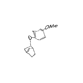 COc1ccc(OC2CC3=CC2CC3)cc1